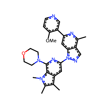 COc1ccncc1-c1cc2c(cnn2-c2cc3c(C)c(C)n(C)c3c(N3CCOCC3)n2)c(C)n1